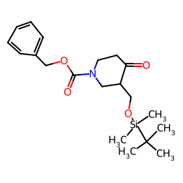 CC(C)(C)[Si](C)(C)OCC1CN(C(=O)OCc2ccccc2)CCC1=O